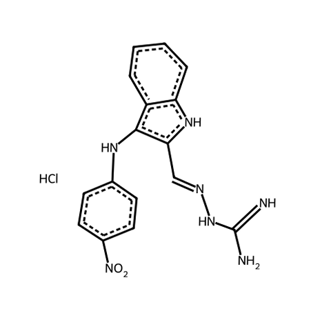 Cl.N=C(N)N/N=C/c1[nH]c2ccccc2c1Nc1ccc([N+](=O)[O-])cc1